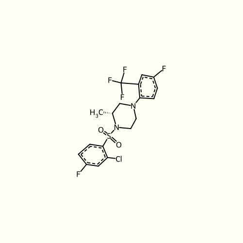 C[C@@H]1CN(c2ccc(F)cc2C(F)(F)F)CCN1S(=O)(=O)c1ccc(F)cc1Cl